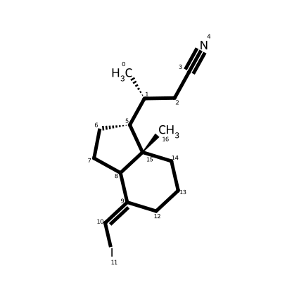 C[C@H](CC#N)[C@H]1CCC2C(=CI)CCC[C@]21C